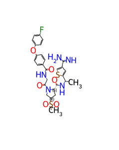 CC(NC(=O)[C@@H]1C[C@@H](S(C)(=O)=O)CN1C(=O)CNC(=O)c1ccc(Oc2ccc(F)cc2)cc1)c1cc(C(=N)N)cs1